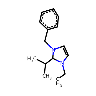 CCN1C=CN(Cc2ccccc2)C1C(C)C